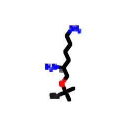 CC(C)(C)[Si](C)(C)OC[C@@H](N)CCCCN